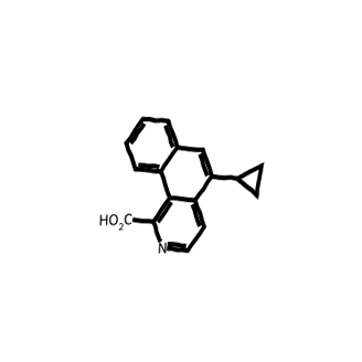 O=C(O)c1nccc2c(C3CC3)cc3ccccc3c12